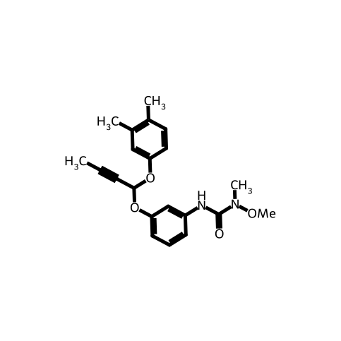 CC#CC(Oc1cccc(NC(=O)N(C)OC)c1)Oc1ccc(C)c(C)c1